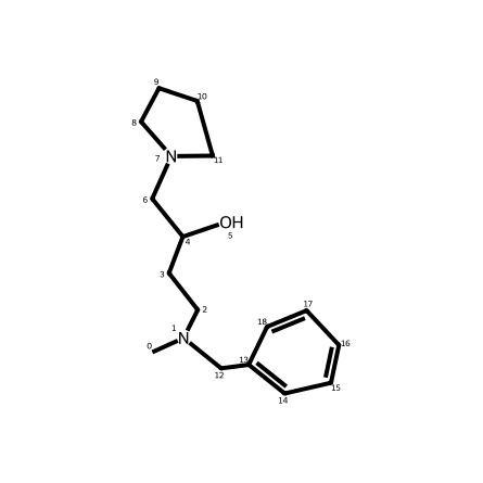 CN(CCC(O)CN1CCCC1)Cc1ccccc1